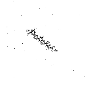 CCc1cc(-c2noc(-c3cc(C)nc(N(CC)CC)c3)n2)cc(C)c1OC[C@@H](O)CN1CC(C(=O)OC)C1